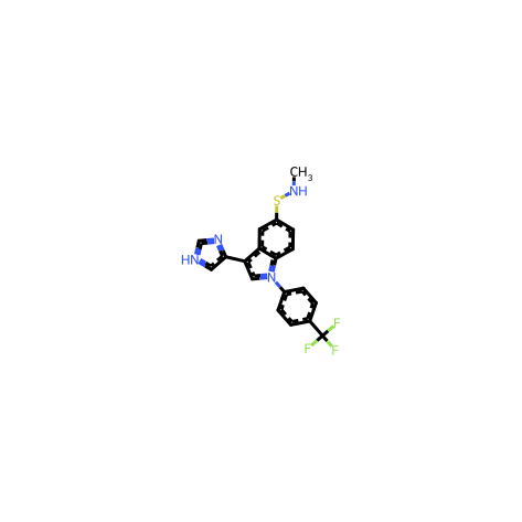 CNSc1ccc2c(c1)c(-c1c[nH]cn1)cn2-c1ccc(C(F)(F)F)cc1